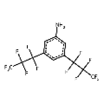 Nc1cc(C(F)(F)C(F)(F)C(F)(F)F)cc(C(F)(F)C(F)(F)C(F)(F)F)c1